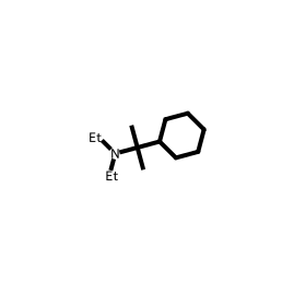 CCN(CC)C(C)(C)C1CCCCC1